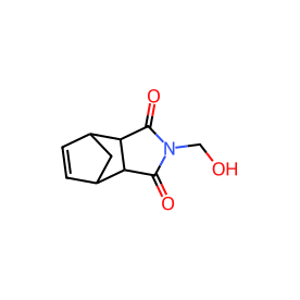 O=C1C2C3C=CC(C3)C2C(=O)N1CO